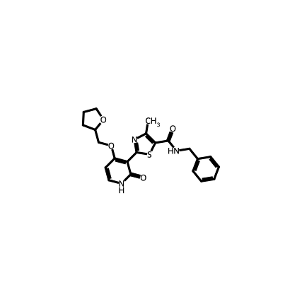 Cc1nc(-c2c(OCC3CCCO3)cc[nH]c2=O)sc1C(=O)NCc1ccccc1